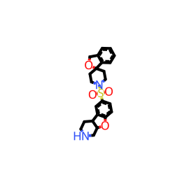 O=S(=O)(c1ccc2c(c1)C1CCNCC1O2)N1CCC2(CC1)OCc1ccccc12